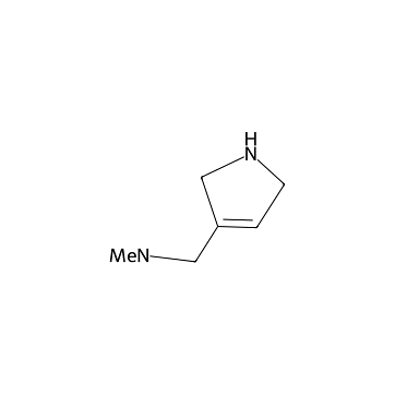 CNCC1=CCNC1